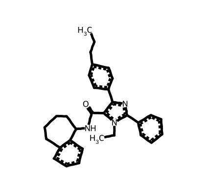 CCCc1ccc(-c2nc(-c3ccccc3)n(CC)c2C(=O)NC2CCCCc3ccccc32)cc1